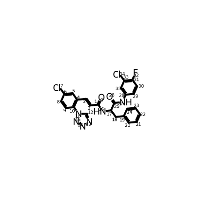 O=C(/C=C/c1cc(Cl)ccc1-n1cnnn1)NC(Cc1ccccc1)C(=O)Nc1ccc(F)c(Cl)c1